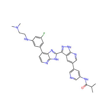 CC(C)C(=O)Nc1cncc(-c2cnc3[nH]nc(-c4nc5c(-c6cc(F)cc(NCCN(C)C)c6)ccnc5[nH]4)c3c2)c1